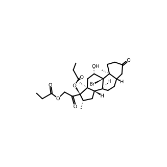 CCC(=O)OCC(=O)[C@@]1(OC(=O)CC)[C@@H](C)C[C@H]2[C@@H]3CC[C@H]4CC(=O)CC[C@]4(C)[C@@]3(Br)[C@@H](O)C[C@@]21C